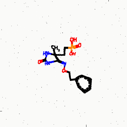 CC1(CCP(=O)(O)O)NC(=O)NC1=NOCCc1ccccc1